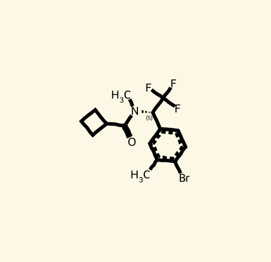 Cc1cc([C@H](N(C)C(=O)C2CCC2)C(F)(F)F)ccc1Br